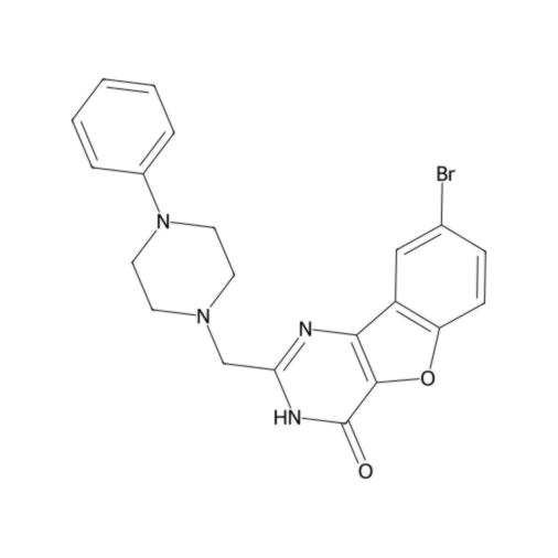 O=c1[nH]c(CN2CCN(c3ccccc3)CC2)nc2c1oc1ccc(Br)cc12